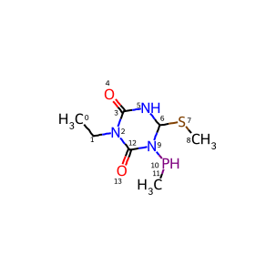 CCN1C(=O)NC(SC)N(PC)C1=O